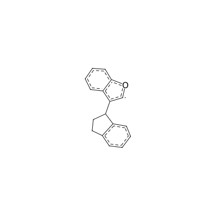 [c]1oc2ccccc2c1C1CCc2ccccc21